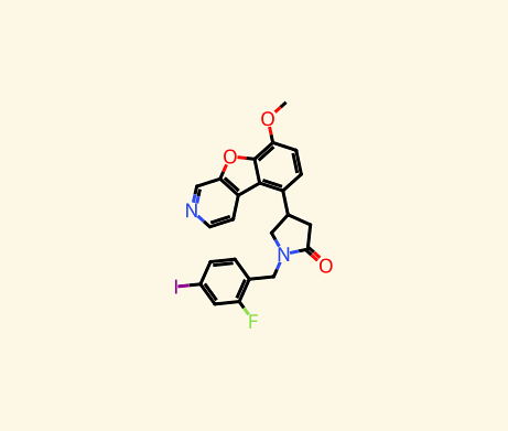 COc1ccc(C2CC(=O)N(Cc3ccc(I)cc3F)C2)c2c1oc1cnccc12